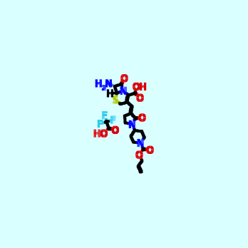 C=CCOC(=O)N1CCC(N2CCC(=CC3=C(C(=O)O)N4C(=O)[C@@H](N)[C@H]4SC3)C2=O)CC1.O=C(O)C(F)(F)F